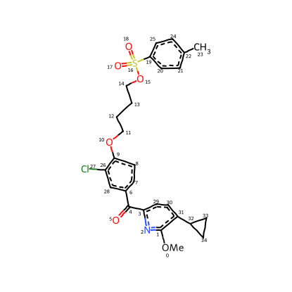 COc1nc(C(=O)c2ccc(OCCCCOS(=O)(=O)c3ccc(C)cc3)c(Cl)c2)ccc1C1CC1